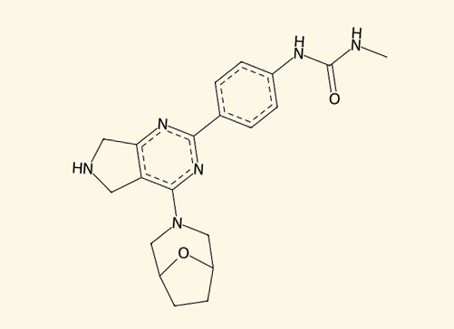 CNC(=O)Nc1ccc(-c2nc3c(c(N4CC5CCC(C4)O5)n2)CNC3)cc1